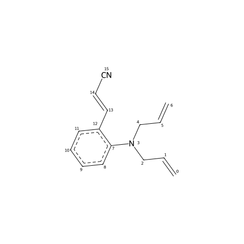 C=CCN(CC=C)c1ccccc1C=CC#N